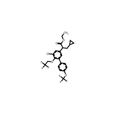 CCOC(=O)C(CC1CC1)c1cc(Cl)c(OCC(F)(F)F)c(-c2ccc(OC(F)(F)F)cc2)c1